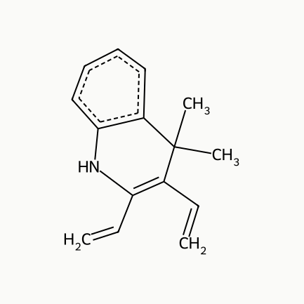 C=CC1=C(C=C)C(C)(C)c2ccccc2N1